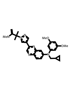 C=C(NC)C(C)(C)n1cc(-c2cnc3ccc(N(CC4CC4)c4cc(OC)cc(OC)c4)cc3n2)cn1